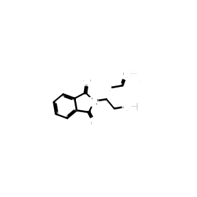 C=CC[C@H](CC)N1C(=O)c2ccccc2C1=O